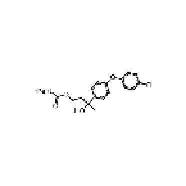 CCCCCC(=O)OCCC(C)(O)c1ccc(Oc2ccc(Cl)cc2)cc1